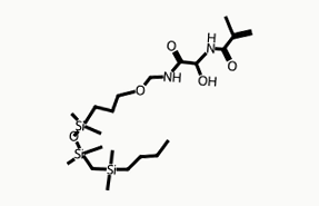 C=C(C)C(=O)NC(O)C(=O)NCOCCC[Si](C)(C)O[Si](C)(C)C[Si](C)(C)CCCC